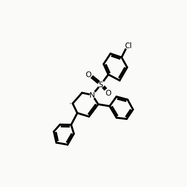 O=S(=O)(c1ccc(Cl)cc1)N1C[CH]C(c2ccccc2)C=C1c1ccccc1